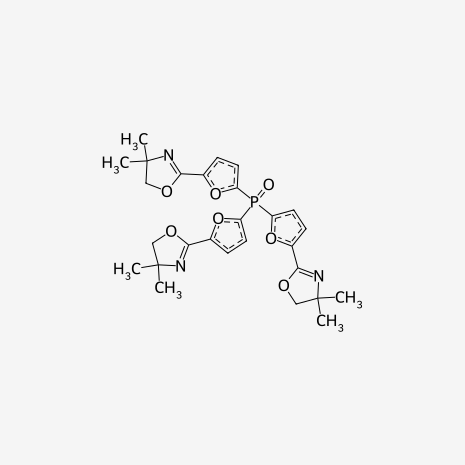 CC1(C)COC(c2ccc(P(=O)(c3ccc(C4=NC(C)(C)CO4)o3)c3ccc(C4=NC(C)(C)CO4)o3)o2)=N1